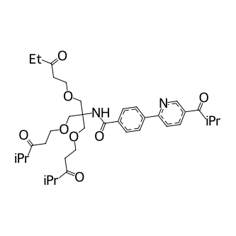 CCC(=O)CCOCC(COCCC(=O)C(C)C)(COCCC(=O)C(C)C)NC(=O)c1ccc(-c2ccc(C(=O)C(C)C)cn2)cc1